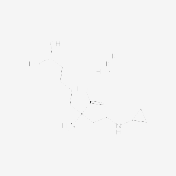 Cl.Cl.NC(CCCCB(O)O)(CCNC1CC1)C(=O)O.O